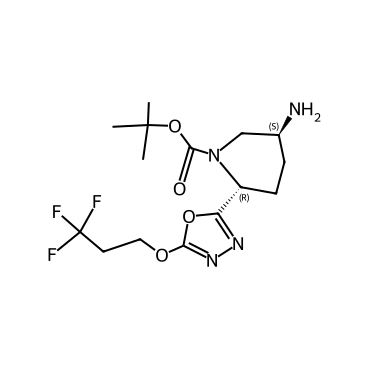 CC(C)(C)OC(=O)N1C[C@@H](N)CC[C@@H]1c1nnc(OCCC(F)(F)F)o1